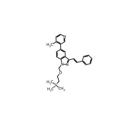 Cc1ccncc1-c1ccc2c(c1)c(C=Cc1ccccc1)nn2COCC[Si](C)(C)C